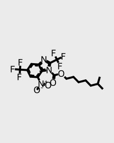 CC(C)CCCCCOC(=O)n1c(C(F)(F)F)nc2cc(C(F)(F)F)cc([N+](=O)[O-])c21